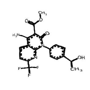 COC(=O)c1c(N)c2ccc(C(F)(F)F)nc2n(-c2ccc(C(C)O)cc2)c1=O